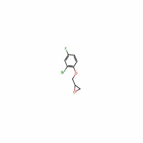 Fc1ccc(OCC2CO2)c(Br)c1